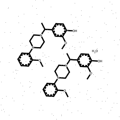 COc1cc(C(C)N2CCN(c3ccccc3OC)CC2)ccc1O.COc1cc(C(C)N2CCN(c3ccccc3OC)CC2)ccc1O.O